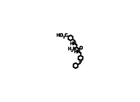 NC(CNCC1CCC(C(=O)O)CC1)C(=O)NCC1CCN(CC2CCCCC2)CC1